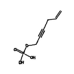 C=CCC#CCOP(=O)(O)O